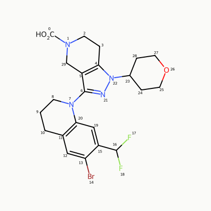 O=C(O)N1CCc2c(c(N3CCCc4cc(Br)c(C(F)F)cc43)nn2C2CCOCC2)C1